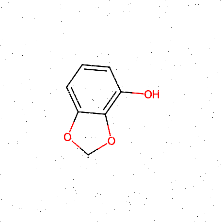 Oc1cccc2c1O[CH]O2